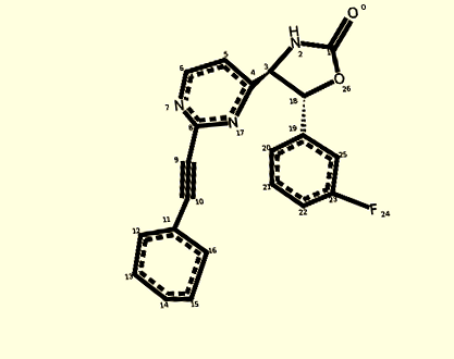 O=C1N[C@H](c2ccnc(C#Cc3ccccc3)n2)[C@@H](c2cccc(F)c2)O1